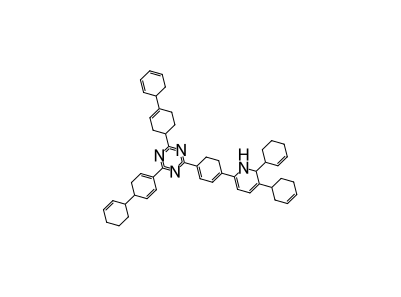 C1=CCC(C2=CCC(c3nc(C4=CCC(C5C=CCCC5)C=C4)nc(C4=CC=C(C5=CC=C(C6CC=CCC6)C(C6C=CCCC6)N5)CC4)n3)CC2)C=C1